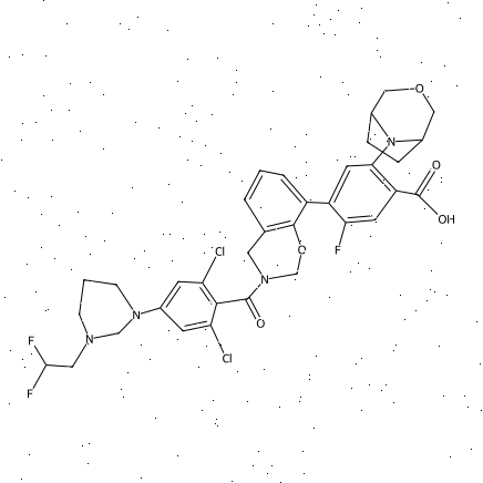 O=C(O)c1cc(F)c(-c2cccc3c2OCN(C(=O)c2c(Cl)cc(N4CCCN(CC(F)F)C4)cc2Cl)C3)cc1N1C2CCC1COC2